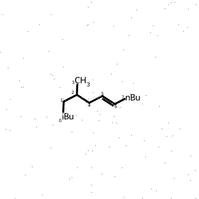 C[CH]C(C)CC(C)CC=CCCCC